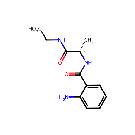 C[C@H](NC(=O)c1ccccc1N)C(=O)NCC(=O)O